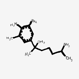 CCC(C)c1cc(C(C)(C)CCCC(C)N)cc(C)c1N